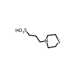 O=S(=O)(O)CCCN1CCSCC1